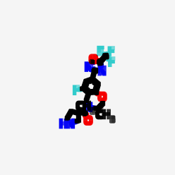 C[C@H]1COc2cc(-c3noc(C(F)(F)F)n3)cc(F)c2CN1C(=O)C1(C)CCNC1